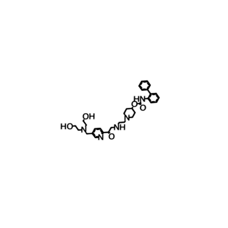 O=C(Nc1ccccc1-c1ccccc1)OC1CCN(CCNCC(=O)c2ccc(CN(CCO)CCO)cn2)CC1